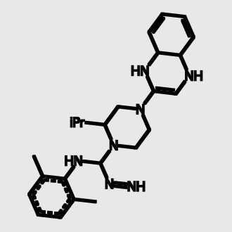 Cc1cccc(C)c1NC(N=N)N1CCN(C2=CNC3C=CC=CC3N2)CC1C(C)C